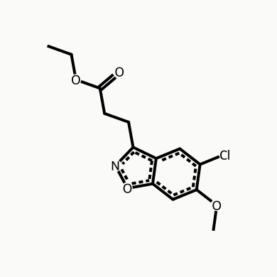 CCOC(=O)CCc1noc2cc(OC)c(Cl)cc12